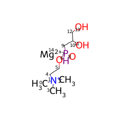 C[N+](C)(C)CCO[PH](=O)CC(O)CO.[Mg+2]